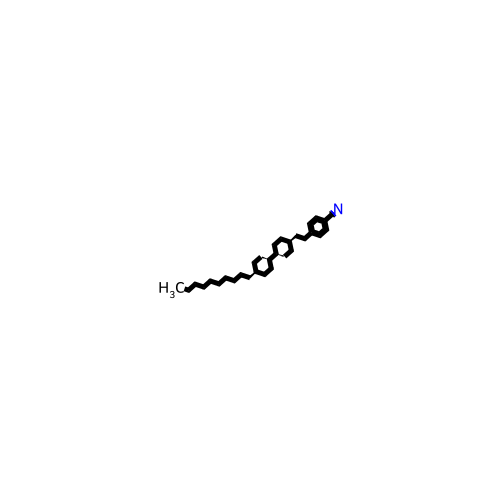 CCCCCCCCCC[C@H]1CC[C@H]([C@H]2CC[C@H](CCc3ccc(C#N)cc3)CC2)CC1